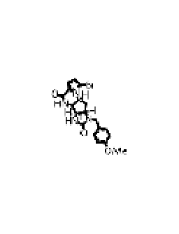 COc1ccc(CN2C(=O)N[C@H]3[C@@H]4NC(=O)c5ccc(Br)n5[C@@H]4C[C@H]32)cc1